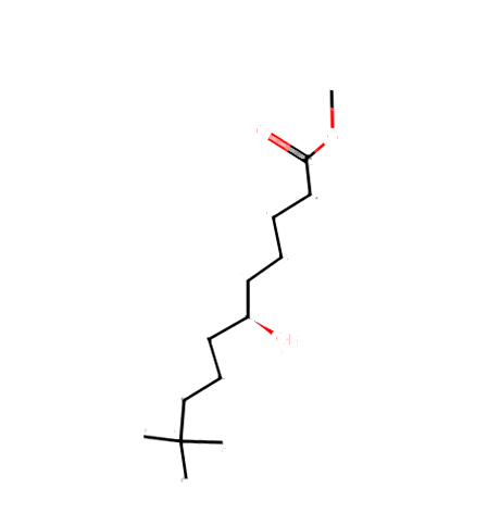 COC(=O)CCCC[C@@H](O)CCCC(C)(C)C